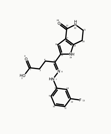 O=C(O)CCC(=NNc1cccc(F)c1)c1cc2c([nH]1)CCNC2=O